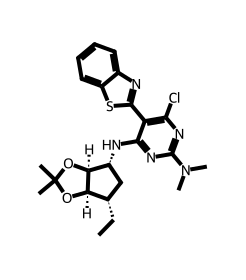 CC[C@H]1C[C@@H](Nc2nc(N(C)C)nc(Cl)c2-c2nc3ccccc3s2)[C@@H]2OC(C)(C)O[C@H]12